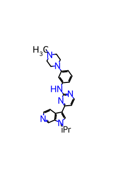 CC(C)n1cc(-c2ccnc(Nc3cccc(N4CCN(C)CC4)c3)n2)c2ccncc21